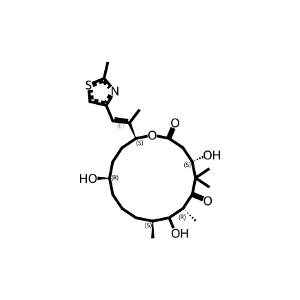 C/C(=C\c1csc(C)n1)[C@@H]1CC[C@H](O)CCC[C@H](C)C(O)[C@@H](C)C(=O)C(C)(C)[C@@H](O)CC(=O)O1